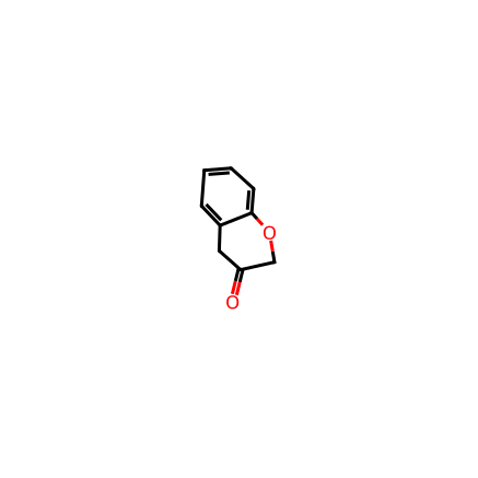 O=C1COc2ccccc2C1